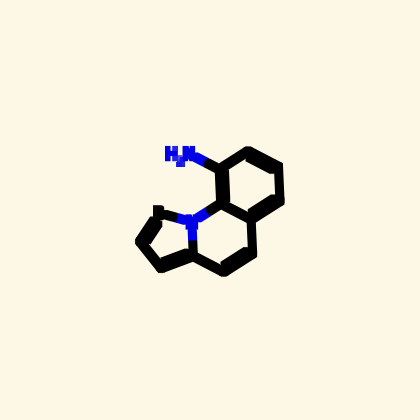 Nc1cccc2ccc3ccbn3c12